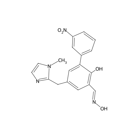 Cn1ccnc1Cc1cc(C=NO)c(O)c(-c2cccc([N+](=O)[O-])c2)c1